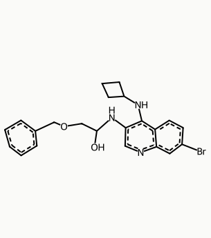 OC(COCc1ccccc1)Nc1cnc2cc(Br)ccc2c1NC1CCC1